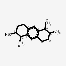 CC1CCc2cc3c(cc2C1C)CCC(C)C3C